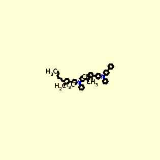 C=C/C=C(\C=C/C/C=C/C=C\C=C/C)C/C=C\C(=C/C)N(C(/C=C\C)=C/C=C(\C)C1=CC(c2c#cc(N(c3ccccc3)c3ccc(-c4ccccc4)cc3)cc2)=CCC1)c1ccccc1